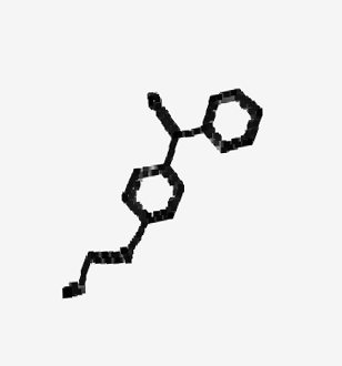 CCCCC=Nc1ccc(C(=O)c2ccccc2)cc1